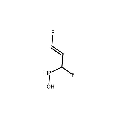 OPC(F)C=CF